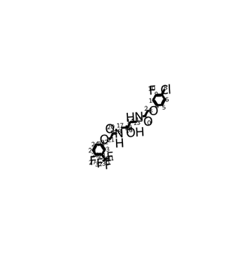 O=C(COc1ccc(Cl)c(F)c1)NCC[C@H](O)CNC(=O)COc1ccc(F)c(C(F)(F)F)c1